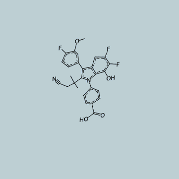 COc1cc(-c2c(C(C)(C)CC#N)n(-c3ccc(C(=O)O)cc3)c3c(O)c(F)c(F)cc23)ccc1F